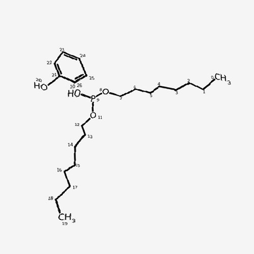 CCCCCCCCOP(O)OCCCCCCCC.Oc1ccccc1